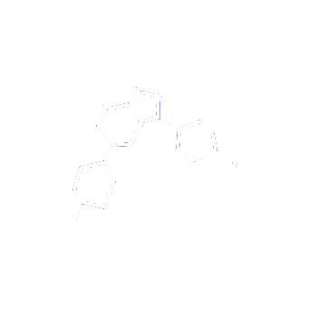 [C-]#[N+]c1ccc(-c2nnc3ncc(-c4ccc(C(C)(C)C)cc4)cn23)cc1